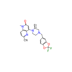 CC[C@H]1CN(Cc2ccc3c(c2)OC(F)(F)O3)CCN1c1cc(=O)n(C)c2ccc(C#N)nc12